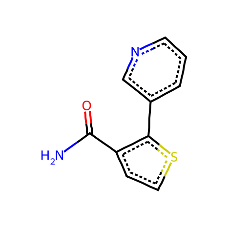 NC(=O)c1ccsc1-c1cccnc1